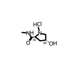 CNC(=O)[C@@H]1C[C@@H](O)CN1C.Cl